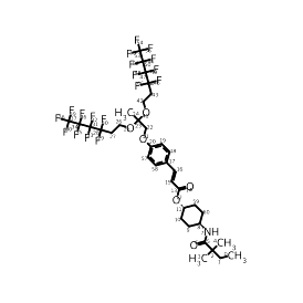 CCC(C)(C)C(=O)N[C@H]1CC[C@H](OC(=O)/C=C/c2ccc(OCC(C)(OCCC(F)(F)C(F)(F)C(F)(F)C(F)(F)F)OCCC(F)(F)C(F)(F)C(F)(F)C(F)(F)F)cc2)CC1